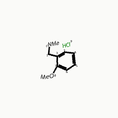 CNCc1ccccc1OC.Cl